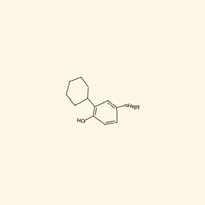 CCCCCCCc1ccc(O)c(C2CCCCC2)c1